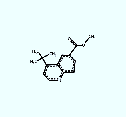 COC(=O)c1ccc2nccc(C(C)(C)C)c2c1